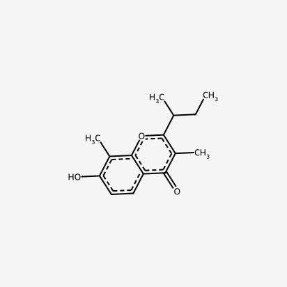 CCC(C)c1oc2c(C)c(O)ccc2c(=O)c1C